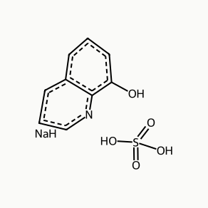 O=S(=O)(O)O.Oc1cccc2cccnc12.[NaH]